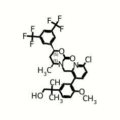 COc1ccc(C(C)(C)CO)cc1-c1ccc(Cl)nc1CN1C(=O)O[C@H](c2cc(C(F)(F)F)cc(C(F)(F)F)c2)C[C@@H]1C